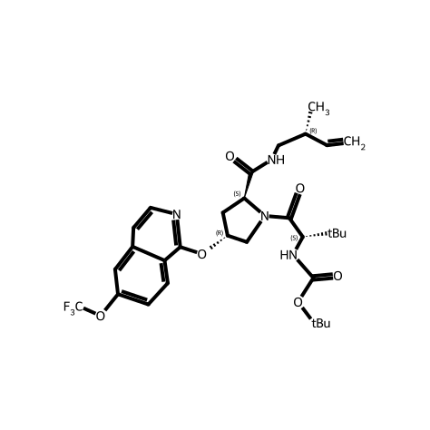 C=C[C@@H](C)CNC(=O)[C@@H]1C[C@@H](Oc2nccc3cc(OC(F)(F)F)ccc23)CN1C(=O)[C@@H](NC(=O)OC(C)(C)C)C(C)(C)C